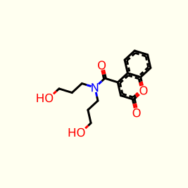 O=C(c1cc(=O)oc2ccccc12)N(CCCO)CCCO